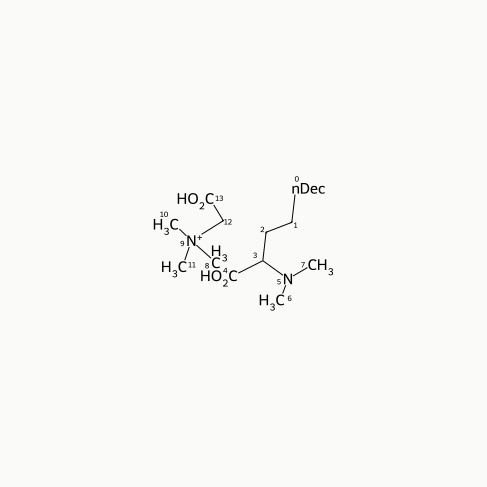 CCCCCCCCCCCCC(C(=O)O)N(C)C.C[N+](C)(C)CC(=O)O